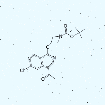 CC(=O)c1cnc(OC2CN(C(=O)OC(C)(C)C)C2)c2cnc(Cl)cc12